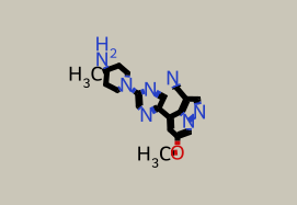 COc1cc(-c2cnc(N3CCC(C)(N)CC3)cn2)c2c(C#N)cnn2c1